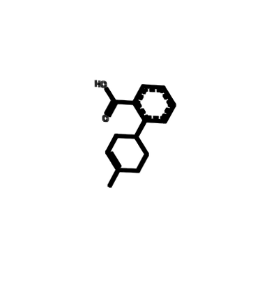 CC1=CCC(c2ccccc2C(=O)O)CC1